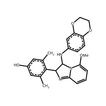 COC1=CC=CC2=NC(c3c(C)cc(O)cc3C)C(Nc3ccc4c(c3)OCCO4)N12